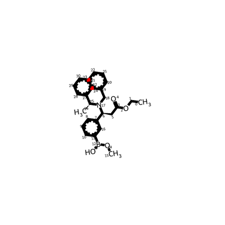 CCOC(=O)C[C@@H](c1cccc(B(O)OC)c1)N(Cc1ccccc1)[C@H](C)c1ccccc1